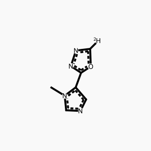 [2H]c1nnc(-c2cncn2C)o1